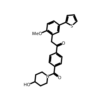 COc1ccc(-c2cccs2)cc1CC(=O)c1ccc(C(=O)N2CCC(O)CC2)cc1